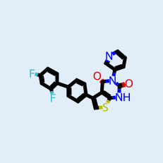 O=c1[nH]c2scc(-c3ccc(-c4ccc(F)cc4F)cc3)c2c(=O)n1-c1cccnc1